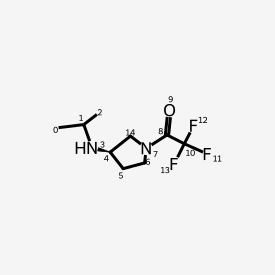 CC(C)N[C@@H]1CCN(C(=O)C(F)(F)F)C1